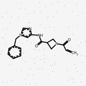 C=CC(=O)N1CC(C(=O)Nc2cn(Cc3ccccc3)cn2)C1